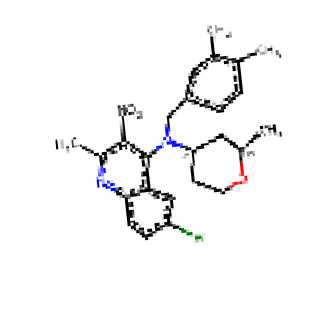 Cc1ccc(CN(c2c([N+](=O)[O-])c(C)nc3ccc(Br)cc23)[C@@H]2CCO[C@H](C)C2)cc1C